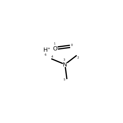 C=O.CN(C)C.[H+]